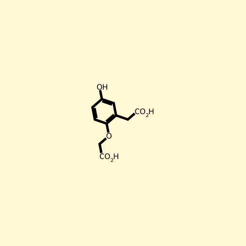 O=C(O)COc1ccc(O)cc1CC(=O)O